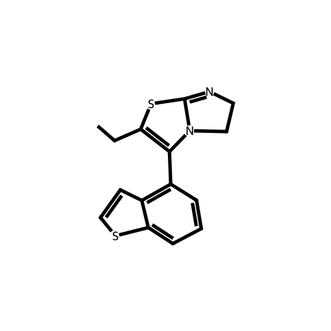 CCC1=C(c2cccc3sccc23)N2CCN=C2S1